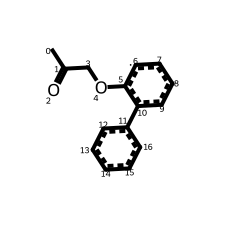 CC(=O)COc1[c]cccc1-c1ccccc1